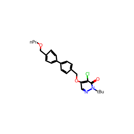 CCCOCc1ccc(-c2ccc(COc3cnn(C(C)(C)C)c(=O)c3Cl)cc2)cc1